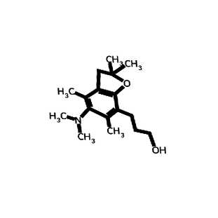 Cc1c(CCCO)c2c(c(C)c1N(C)C)CC(C)(C)O2